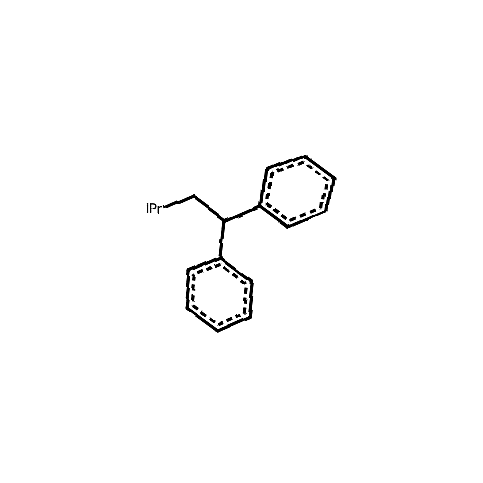 [CH2]C(C)CC(c1ccccc1)c1ccccc1